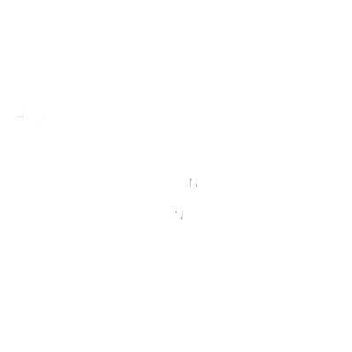 O=C(O)c1ccc(Cn2cc3cc(F)ccc3n2)cc1